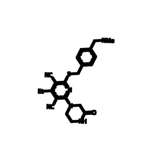 CCc1c(C#N)c(SCc2ccc(CNC)cc2)nc(N2CCNC(=O)C2)c1C#N